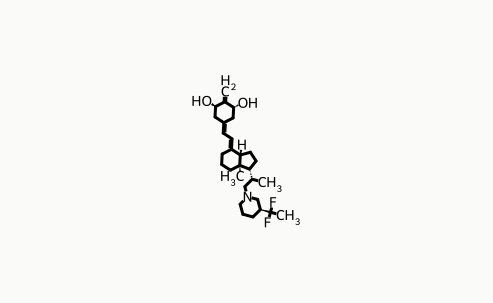 C=C1[C@H](O)CC(=C/C=C2\CCC[C@]3(C)[C@@H](C(C)CN4CCC[C@H](C(C)(F)F)C4)CC[C@@H]23)C[C@H]1O